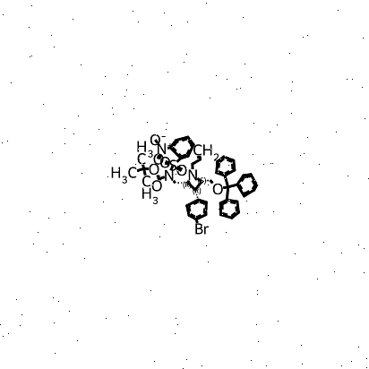 C=CCN1[C@H](COC(c2ccccc2)(c2ccccc2)c2ccccc2)[C@H](c2ccc(Br)cc2)[C@@H]1CN(C(=O)OC(C)(C)C)S(=O)(=O)c1ccccc1[N+](=O)[O-]